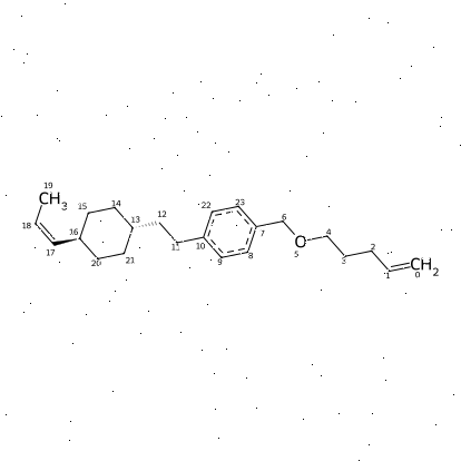 C=CCCCOCc1ccc(CC[C@H]2CC[C@H](/C=C\C)CC2)cc1